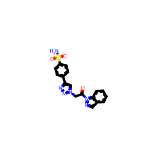 NS(=O)(=O)c1ccc(-c2cn(CC(=O)n3ncc4ccccc43)nn2)cc1